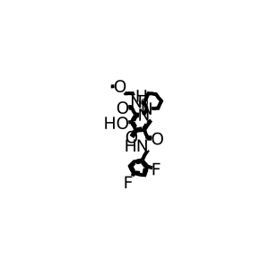 COCCN1C(=O)c2c(O)c(=O)c(C(=O)NCc3ccc(F)cc3F)cn2N2CCCC[C@@H]12